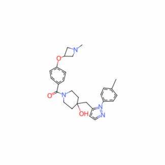 Cc1ccc(-n2nccc2CC2(O)CCN(C(=O)c3ccc(OC4CN(C)C4)cc3)CC2)cc1